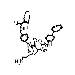 NCCCCC(NC(=O)Nc1ccc(-c2ccccc2)cc1)C(=O)Nc1ccc(CNC(=O)C2CCCCC2)cc1